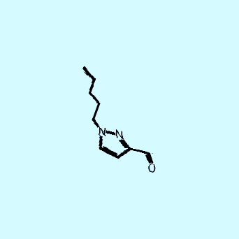 CCCCCn1ccc([C]=O)n1